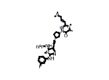 CCCNC1C(C#C[C@@H]2CC[C@H](NC(=O)[C@H](C)N(C)C(=O)/C=C/CN(C)C)C2)=CN=C(Nc2cccc(F)c2)N1C